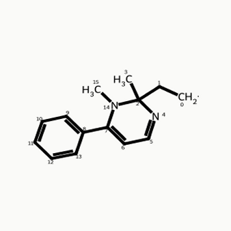 [CH2]CC1(C)N=CC=C(c2ccccc2)N1C